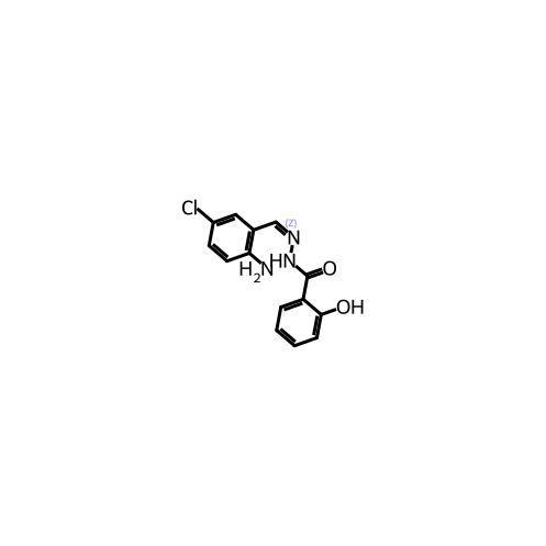 Nc1ccc(Cl)cc1/C=N\NC(=O)c1ccccc1O